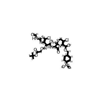 CC(C)(C)OC(=O)CON=C(C(=O)NC1C(=O)N2C(C(=O)OCc3ccc([N+](=O)[O-])cc3)=C(Cl)CS[C@@H]12)c1nc(NC=O)sc1Cl